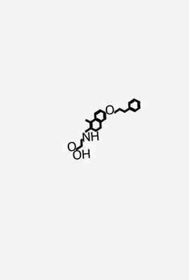 CC1=C(CNCCC(=O)O)CCc2cc(OCCCc3ccccc3)ccc21